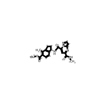 CPC(=O)c1cc(C(=O)N[C@H]2CCc3c2ccc(C(=O)OC(C)(C)C)c3C)n2nccc2n1